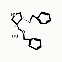 Cl.c1ccc(COC[C@H]2CNC[C@@H]2OCc2ccccc2)cc1